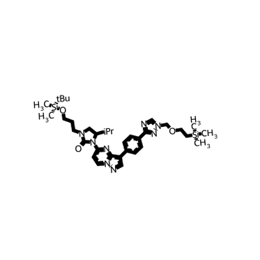 CC(C)C1CN(CCCO[Si](C)(C)C(C)(C)C)C(=O)N1c1ccn2ncc(-c3ccc(-c4ncn(COCC[Si](C)(C)C)n4)cc3)c2n1